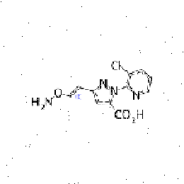 NO/C=C/c1cc(C(=O)O)n(-c2ncccc2Cl)n1